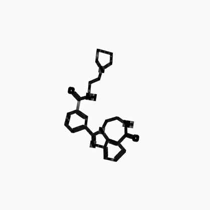 O=C(NCCN1CCCC1)c1cccc(-c2nc3cccc4c3n2CCNC4=O)c1